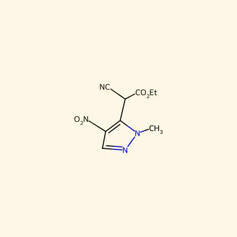 CCOC(=O)C(C#N)c1c([N+](=O)[O-])cnn1C